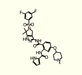 CN1CCC(Oc2ccc(C(=O)Nc3n[nH]c4c3CN(S(=O)(=O)c3cc(F)cc(F)c3)C4(C)C)c(NC(=O)c3ccc[nH]3)c2)CC1